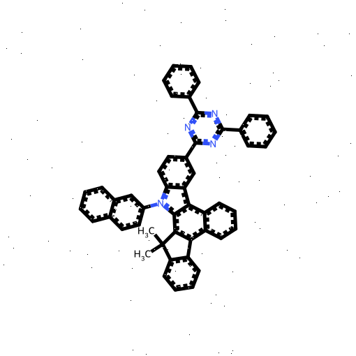 CC1(C)c2ccccc2-c2c1c1c(c3ccccc23)c2cc(-c3nc(-c4ccccc4)nc(-c4ccccc4)n3)ccc2n1-c1ccc2ccccc2c1